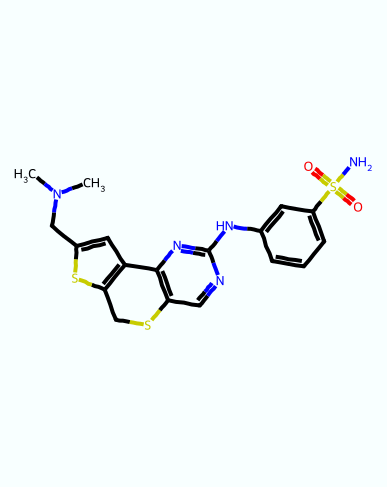 CN(C)Cc1cc2c(s1)CSc1cnc(Nc3cccc(S(N)(=O)=O)c3)nc1-2